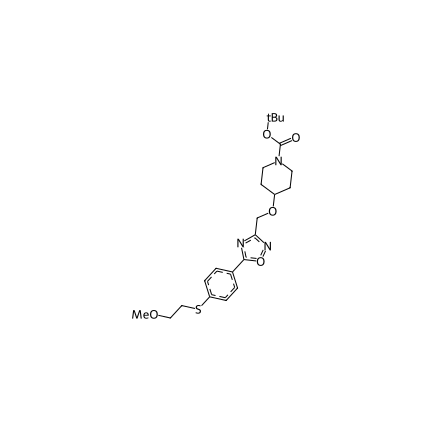 COCCSc1ccc(-c2nc(COC3CCN(C(=O)OC(C)(C)C)CC3)no2)cc1